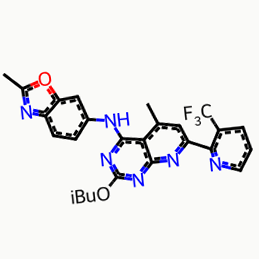 Cc1nc2ccc(Nc3nc(OCC(C)C)nc4nc(-c5ncccc5C(F)(F)F)cc(C)c34)cc2o1